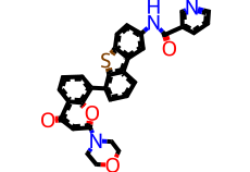 O=C(Nc1ccc2sc3c(-c4cccc5c(=O)cc(N6CCOCC6)oc45)cccc3c2c1)c1cccnc1